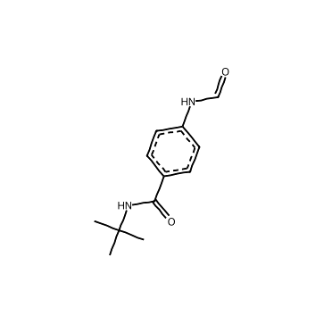 CC(C)(C)NC(=O)c1ccc(NC=O)cc1